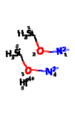 [Hf+4].[N-2]O[SiH3].[N-2]O[SiH3]